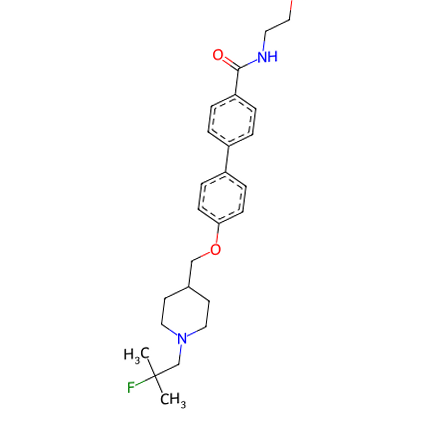 CC(C)(F)CN1CCC(COc2ccc(-c3ccc(C(=O)NCCO)cc3)cc2)CC1